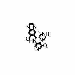 COc1cncc(NCc2cc3nccnc3cc2Cl)c1N1CCN[C@@H](C)C1